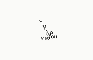 C=CCOCCOP(=O)(O)OC